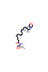 CCC(CN1CCOCC1)C(C)(C)/C=C\C/C=C\C/C=C\C/C=C\CCCC(=O)N[C@H](C)CO